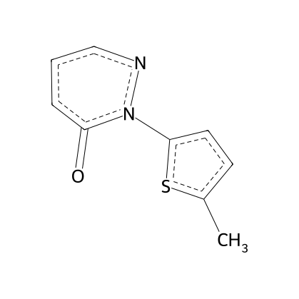 Cc1ccc(-n2ncccc2=O)s1